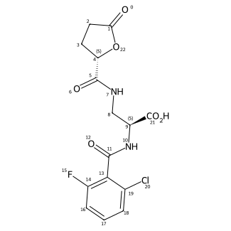 O=C1CC[C@@H](C(=O)NC[C@H](NC(=O)c2c(F)cccc2Cl)C(=O)O)O1